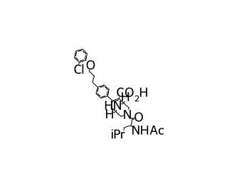 CC(=O)NC(CC(C)C)C(=O)N1C[C@@H]2CC(c3ccc(CCCOc4ccccc4Cl)cc3)=C(C(=O)O)[C@H](C1)N2